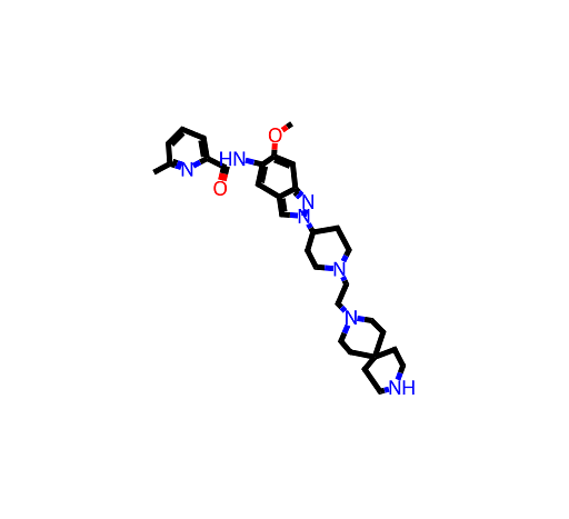 COc1cc2nn(C3CCN(CCN4CCC5(CCNCC5)CC4)CC3)cc2cc1NC(=O)c1cccc(C)n1